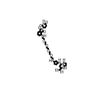 CCC(CC)C1CC(N[C@H]2CC[C@H](NCCOCCOCCOCCOCCNc3cccc4c3C(=O)N(C3CCC(=O)NC3=O)C4=O)C2)N2NCCC2N1